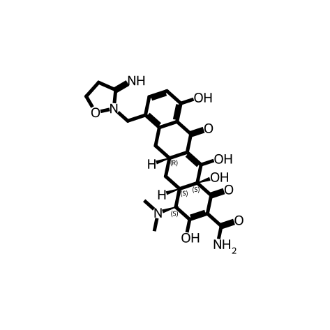 CN(C)[C@@H]1C(O)=C(C(N)=O)C(=O)[C@@]2(O)C(O)=C3C(=O)c4c(O)ccc(CN5OCCC5=N)c4C[C@H]3C[C@@H]12